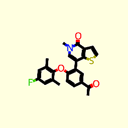 CC(=O)c1ccc(Oc2c(C)cc(F)cc2C)c(-c2cn(C)c(=O)c3ccsc23)c1